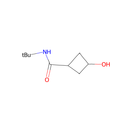 CC(C)(C)NC(=O)C1CC(O)C1